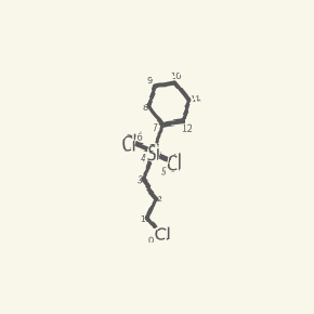 ClCCC[Si](Cl)(Cl)C1CCCCC1